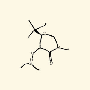 CN1C[C@H](C(C)(C)C)C(O[SiH](C)C)C1=O